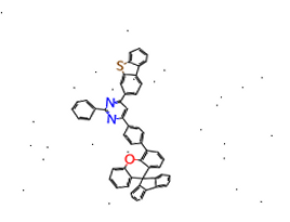 c1ccc(-c2nc(-c3ccc(-c4cccc5c4Oc4ccccc4C54c5ccccc5-c5ccccc54)cc3)cc(-c3ccc4c(c3)sc3ccccc34)n2)cc1